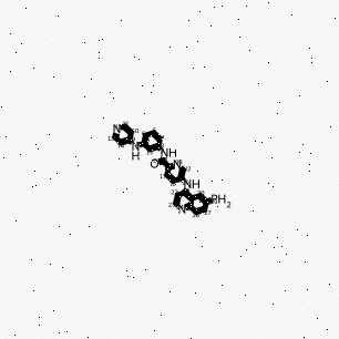 O=C(Nc1cccc(Nc2ccncc2)c1)c1ccc(Nc2ccnc3ccc(P)cc23)cn1